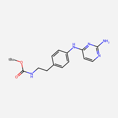 CC(C)(C)OC(=O)NCCc1ccc(Nc2ccnc(N)n2)cc1